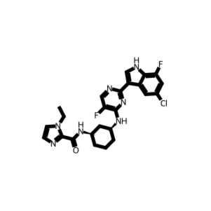 CCn1ccnc1C(=O)N[C@@H]1CCC[C@H](Nc2nc(-c3c[nH]c4c(F)cc(Cl)cc34)ncc2F)C1